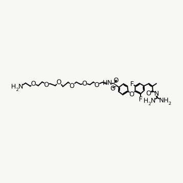 CC(=Cc1cc(F)c(Oc2ccc(S(=O)(=O)NCCOCCOCCOCCOCCOCCOCCN)cc2)c(F)c1)C(=O)N=C(N)N